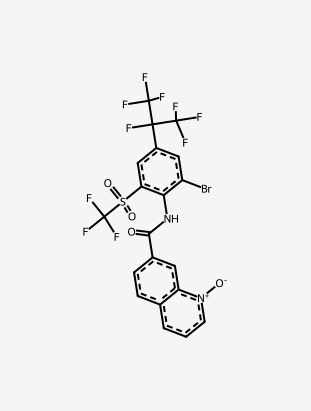 O=C(Nc1c(Br)cc(C(F)(C(F)(F)F)C(F)(F)F)cc1S(=O)(=O)C(F)(F)F)c1ccc2ccc[n+]([O-])c2c1